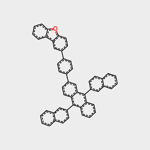 c1ccc2cc(-c3c4ccccc4c(-c4ccc5ccccc5c4)c4cc(-c5ccc(-c6ccc7oc8ccccc8c7c6)cc5)ccc34)ccc2c1